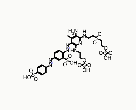 Cc1c(N)c(NCCS(=O)(=O)CCOS(=O)(=O)O)nc(NCCOS(=O)(=O)O)c1/N=N/c1ccc(/N=N/c2ccc(S(=O)(=O)O)cc2)cc1S(=O)(=O)O